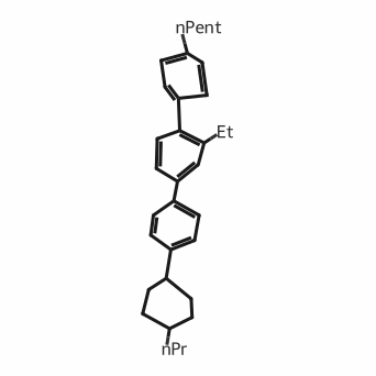 CCCCCc1ccc(-c2ccc(-c3ccc(C4CCC(CCC)CC4)cc3)cc2CC)cc1